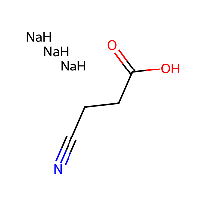 N#CCCC(=O)O.[NaH].[NaH].[NaH]